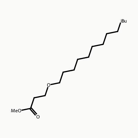 CCC(C)CCCCCCCCCOCCC(=O)OC